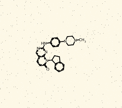 CN1CCN(c2ccc(Nc3ncc4ccc(=O)n(C5CCc6ccccc65)c4n3)cc2)CC1